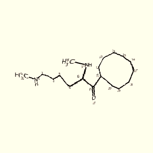 CNCCCCC(NC)C(=O)C1CCCCCCCCC1